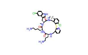 CN1C(=O)[C@H](CCCCN)NC(=O)[C@H](CCCN)NCc2cccnc2Sc2c(Cl)ccc(C(F)(F)F)c2CNC(=O)[C@@H]1Cc1c[nH]c2ccc(Cl)cc12